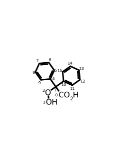 O=C(O)C(OO)(c1ccccc1)c1ccccc1